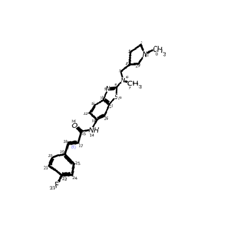 CN1CCC(CN(C)c2nc3ccc(NC(=O)/C=C/c4ccc(F)cc4)cc3s2)C1